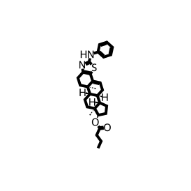 CCCC(=O)O[C@H]1CC[C@H]2[C@@H]3CC=C4c5sc(Nc6ccccc6)nc5CC[C@]4(C)[C@H]3CC[C@]12C